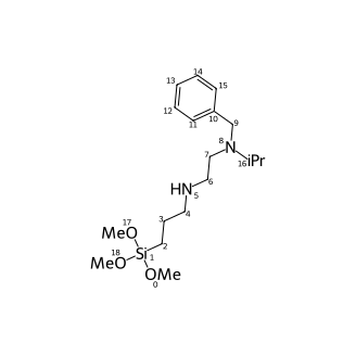 CO[Si](CCCNCCN(Cc1ccccc1)C(C)C)(OC)OC